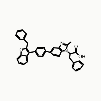 Cc1nc2cc(-c3ccc(-c4c(Cc5ccccc5)oc5ccccc45)cc3)ccc2n1C(Cc1ccccc1)C(=O)O